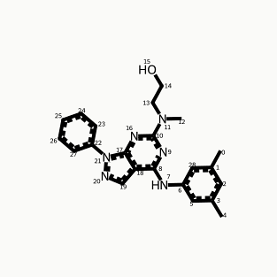 Cc1cc(C)cc(Nc2nc(N(C)CCO)nc3c2cnn3-c2ccccc2)c1